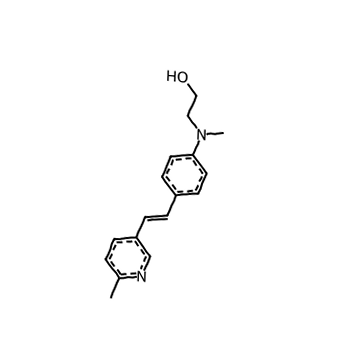 Cc1ccc(/C=C/c2ccc(N(C)CCO)cc2)cn1